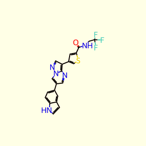 O=C(NCC(F)(F)F)c1cc(-c2cnn3cc(-c4ccc5[nH]ccc5c4)cnc23)cs1